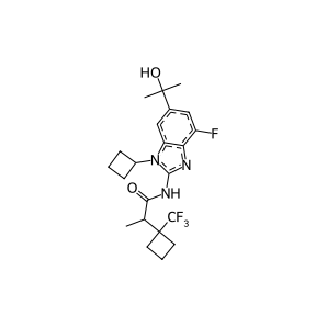 CC(C(=O)Nc1nc2c(F)cc(C(C)(C)O)cc2n1C1CCC1)C1(C(F)(F)F)CCC1